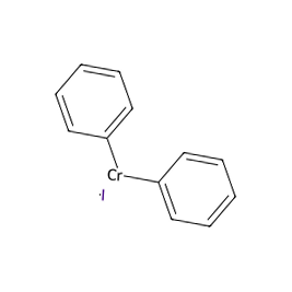 [I].c1cc[c]([Cr][c]2ccccc2)cc1